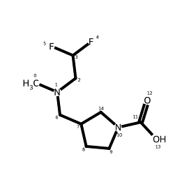 CN(CC(F)F)CC1CCN(C(=O)O)C1